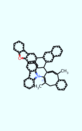 CC1=C=C(C2Cc3cc4oc5ccccc5c4cc3-c3cc4ccccc4cc32)/C(n2c3ccccc3c3ccccc32)=C(/C)Cc2ccccc21